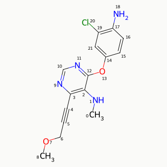 CNc1c(C#CCOC)ncnc1Oc1ccc(N)c(Cl)c1